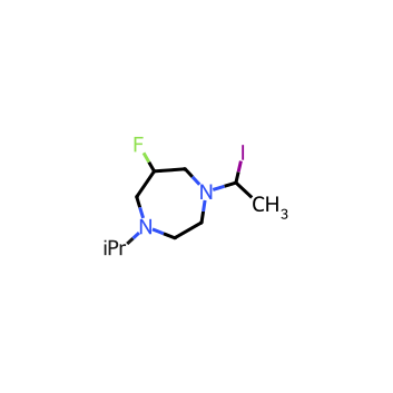 CC(C)N1CCN(C(C)I)CC(F)C1